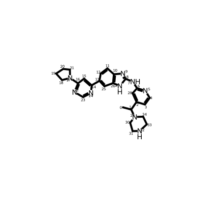 CC(c1ccnc(Nc2nc3ccc(-c4cc(N5CCCC5)ncn4)cc3[nH]2)c1)N1CCNCC1